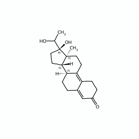 CC(O)[C@@]1(O)CC[C@H]2[C@@H]3CCC4=CC(=O)CCC4=C3CC[C@@]21C